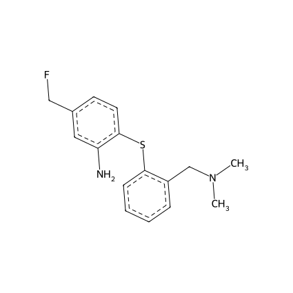 CN(C)Cc1ccccc1Sc1ccc(CF)cc1N